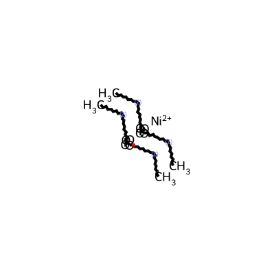 CCCCCCCC/C=C\CCCCCCCCOP(=O)([O-])OCCCCCCCC/C=C\CCCCCCCC.CCCCCCCC/C=C\CCCCCCCCOP(=O)([O-])OCCCCCCCC/C=C\CCCCCCCC.[Ni+2]